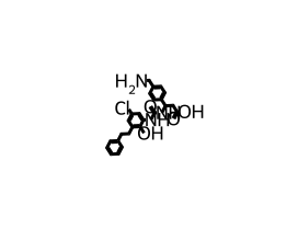 NCc1ccc(C(CC(=O)O)NC(=O)Nc2cc(Cl)cc(CCc3ccccc3)c2O)cc1